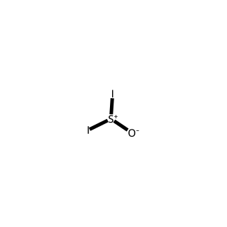 [O-][S+](I)I